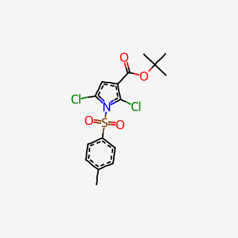 Cc1ccc(S(=O)(=O)n2c(Cl)cc(C(=O)OC(C)(C)C)c2Cl)cc1